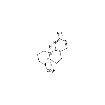 Nc1ncc2c(n1)[C@@H]1CCCN(C(=O)O)[C@@H]1CC2